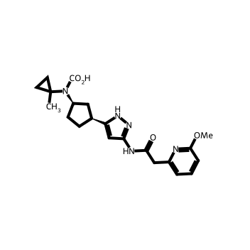 COc1cccc(CC(=O)Nc2cc([C@H]3CC[C@@H](N(C(=O)O)C4(C)CC4)C3)[nH]n2)n1